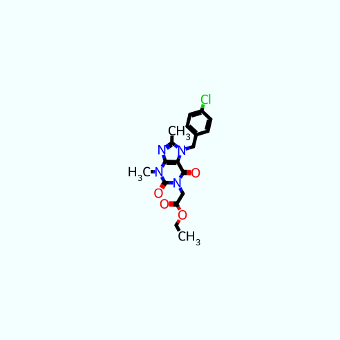 CCOC(=O)Cn1c(=O)c2c(nc(C)n2Cc2ccc(Cl)cc2)n(C)c1=O